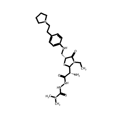 CCN1C(=O)[C@@H](CNc2ccc(CCN3CCCC3)cc2)SC1[C@H](N)C(=O)NNC(=S)N(C)C